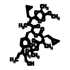 CCN(CCO)c1ccc(C[C@@H](OC(=O)[C@H](CC2CC2)N(C)C(=O)OC(C)(C)C)C(=O)N(C)[C@@H](CC2CC2)C(=O)O[C@H](C)C(=O)OC)cc1